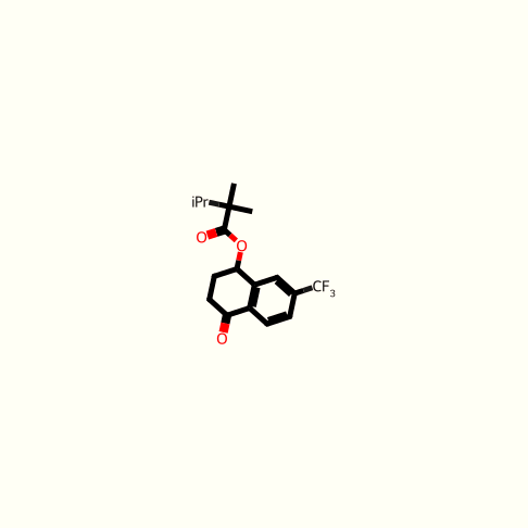 CC(C)C(C)(C)C(=O)OC1CCC(=O)c2ccc(C(F)(F)F)cc21